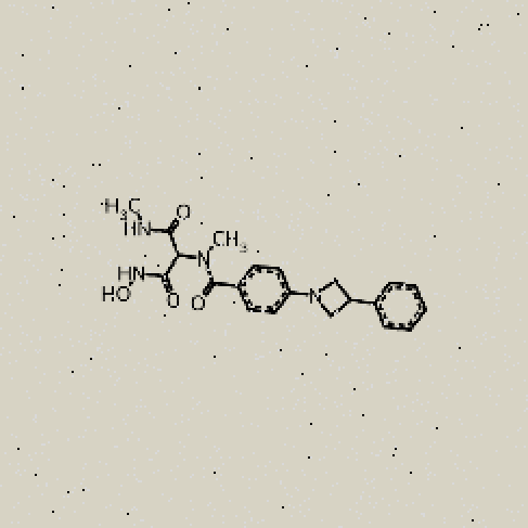 CNC(=O)C(C(=O)NO)N(C)C(=O)c1ccc(N2CC(c3ccccc3)C2)cc1